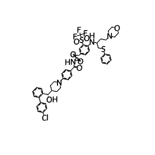 O=C(NS(=O)(=O)c1ccc(NC(CCN2CCOCC2)CSc2ccccc2)c(S(=O)(=O)C(F)(F)F)c1)c1ccc(N2CCC([C@H](O)c3ccccc3-c3ccc(Cl)cc3)CC2)cc1